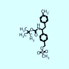 [CH2]c1ccc(CC(NC(=O)OC(C)(C)C)c2ccc(COS(C)(=O)=O)cc2)cc1